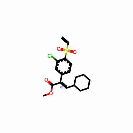 C=CS(=O)(=O)c1ccc(/C(=C\C2CCCCC2)C(=O)OC)cc1Cl